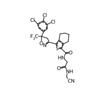 N#CCNC(=O)CNC(=O)c1sc(C2=NOC(c3cc(Cl)c(Cl)c(Cl)c3)(C(F)(F)F)C2)c2c1CCCC2